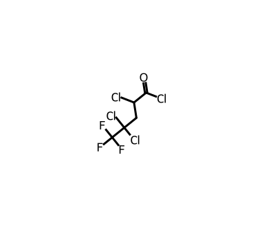 O=C(Cl)C(Cl)CC(Cl)(Cl)C(F)(F)F